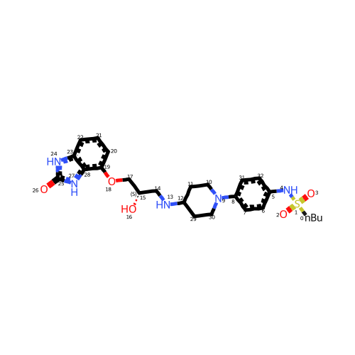 CCCCS(=O)(=O)Nc1ccc(N2CCC(NC[C@H](O)COc3cccc4[nH]c(=O)[nH]c34)CC2)cc1